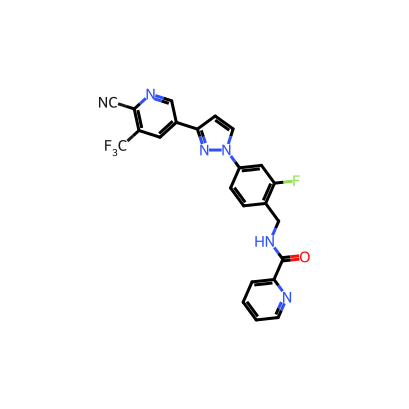 N#Cc1ncc(-c2ccn(-c3ccc(CNC(=O)c4ccccn4)c(F)c3)n2)cc1C(F)(F)F